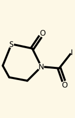 O=C(I)N1CCCSC1=O